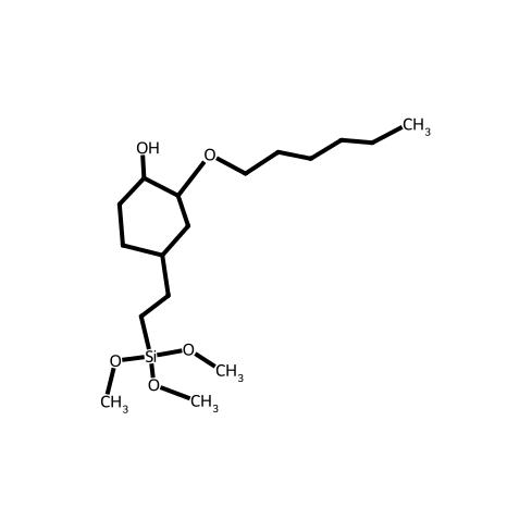 CCCCCCOC1CC(CC[Si](OC)(OC)OC)CCC1O